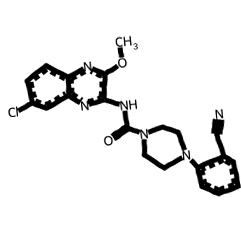 COc1nc2ccc(Cl)cc2nc1NC(=O)N1CCN(c2ccccc2C#N)CC1